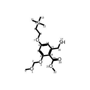 COCOc1cc(OCC[Si](C)(C)C)cc(CS)c1C(=O)OC